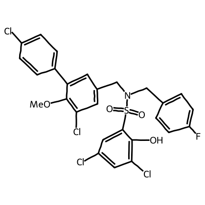 COc1c(Cl)cc(CN(Cc2ccc(F)cc2)S(=O)(=O)c2cc(Cl)cc(Cl)c2O)cc1-c1ccc(Cl)cc1